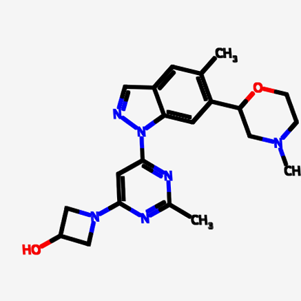 Cc1nc(N2CC(O)C2)cc(-n2ncc3cc(C)c(C4CN(C)CCO4)cc32)n1